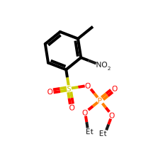 CCOP(=O)(OCC)OS(=O)(=O)c1cccc(C)c1[N+](=O)[O-]